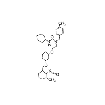 Cc1ccc(CN(CCO[C@H]2CCC[C@@H](OCC3CCCC(C)C3N=C=O)C2)C(=O)NC2CCCCC2)cc1